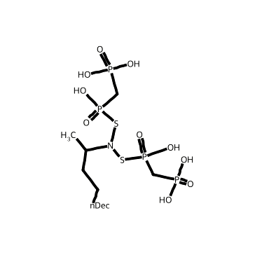 CCCCCCCCCCCCC(C)N(SP(=O)(O)CP(=O)(O)O)SP(=O)(O)CP(=O)(O)O